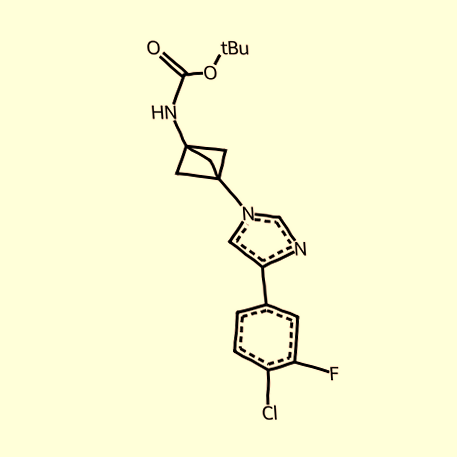 CC(C)(C)OC(=O)NC12CC(n3cnc(-c4ccc(Cl)c(F)c4)c3)(C1)C2